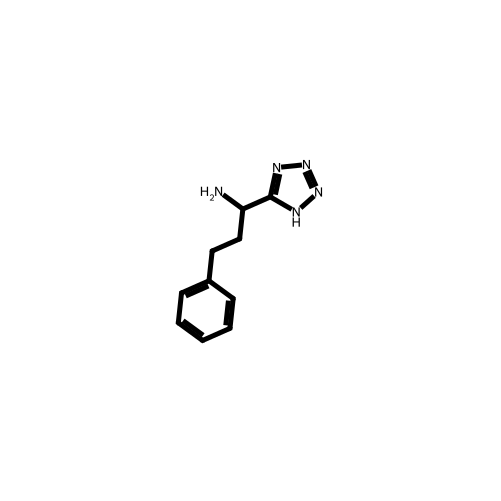 NC(CCc1ccccc1)c1nnn[nH]1